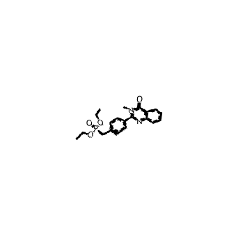 CCOP(=O)(Cc1ccc(-c2nc3ccccc3c(=O)n2C)cc1)OCC